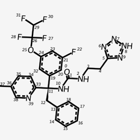 O=C(NCCc1nn[nH]n1)N[C@@](Cc1ccccc1)(c1cc(F)cc(OC(F)(F)C(F)F)c1)c1ccc(Cl)cn1